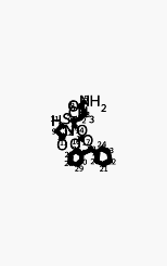 C[C@@]1(/C=C\C(N)=O)S[C@@H]2CC(=O)N2[C@H]1OC(=O)OC(c1ccccc1)c1ccccc1